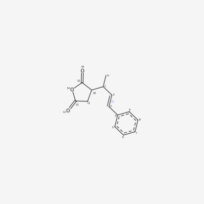 CC(/C=C/c1ccccc1)C1CC(=O)OC1=O